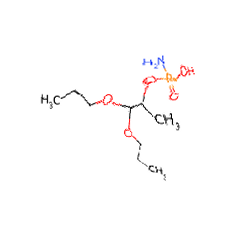 CCCOC(OCCC)C(C)OP(N)(=O)O